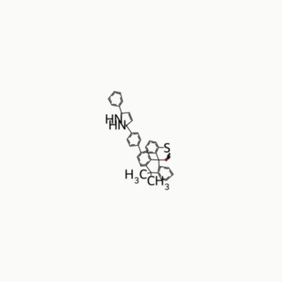 CC1(C)c2ccccc2C2(c3ccccc3Sc3ccccc32)c2cc(-c3ccc(C(=N)/C=C\C(=N)c4ccccc4)cc3)ccc21